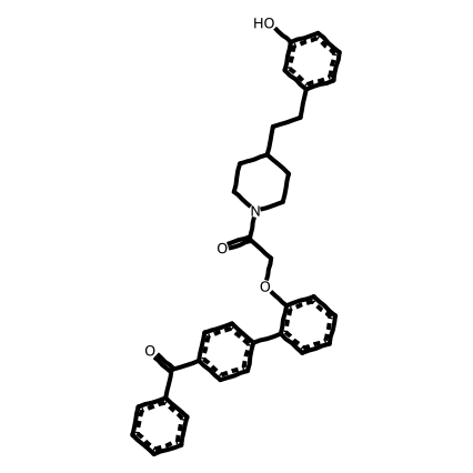 O=C(c1ccccc1)c1ccc(-c2ccccc2OCC(=O)N2CCC(CCc3cccc(O)c3)CC2)cc1